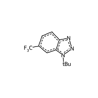 CC(C)(C)n1nnc2ccc(C(F)(F)F)cc21